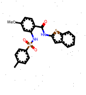 COc1ccc(C(=O)Nc2cc3ccccc3s2)c(NS(=O)(=O)c2ccc(C)cc2)c1